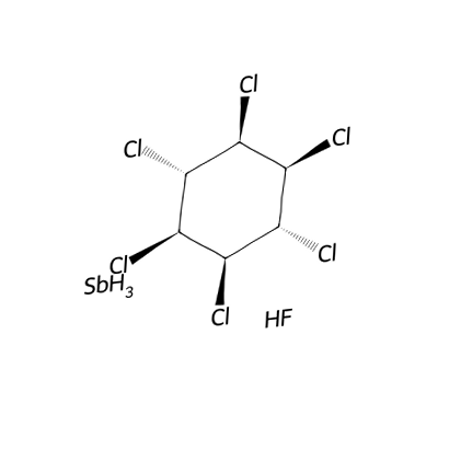 Cl[C@H]1[C@H](Cl)[C@@H](Cl)[C@@H](Cl)[C@H](Cl)[C@H]1Cl.F.[SbH3]